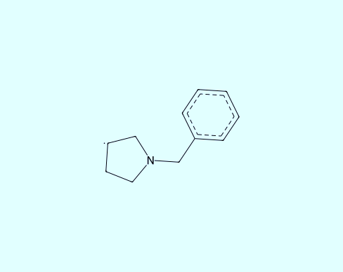 [CH]1CCN(Cc2ccccc2)C1